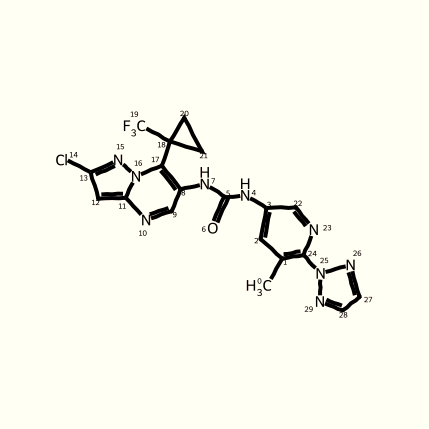 Cc1cc(NC(=O)Nc2cnc3cc(Cl)nn3c2C2(C(F)(F)F)CC2)cnc1-n1nccn1